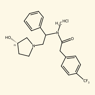 CN(C(=O)Cc1ccc(C(F)(F)F)cc1)C(CN1CC[C@H](O)C1)c1ccccc1.Cl